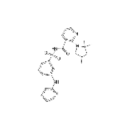 CC1CN(c2ncccc2C(=O)NS(=O)(=O)c2cccc(Nc3ccccn3)n2)C(C)(C)C1